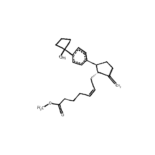 C=C1CCC(c2ccc(C3(O)CCC3)cc2)[C@H]1C/C=C\CCCC(=O)OC